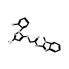 Cn1c(NC(=O)COc2cc(C(F)(F)F)nn2-c2ccccc2Cl)nc2ccccc21